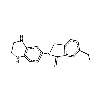 C=C1c2cc(CC)ccc2CN1c1ccc2c(c1)NCCN2